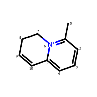 Cc1cccc2[n+]1CCC=C2